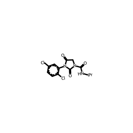 CC(C)NC(=O)N1CC(=O)N(c2cc(Cl)ccc2Cl)C1=O